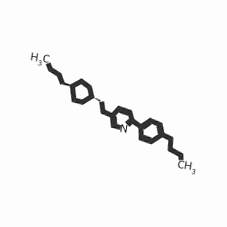 CCCCc1ccc(-c2ccc(CC[C@H]3CC[C@H](CCCC)CC3)cn2)cc1